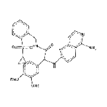 COc1ccc(C(Nc2ccc3c(N)nccc3c2)C(=O)NCc2ccccc2S(=O)(=O)C2CC2)cc1OC